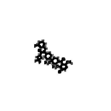 Cc1cc[n+]([O-])c(C)c1C(=O)N1CCC(C)(N2CCC(N(Cc3cccc(F)c3)C(=O)C3CC(F)(F)C3)CC2)CC1